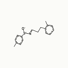 Cc1ccc([S+]([O-])N=CCCc2ccccc2C)cc1